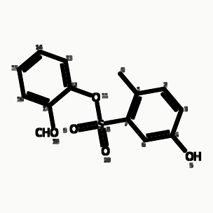 Cc1ccc(O)cc1S(=O)(=O)Oc1ccccc1C=O